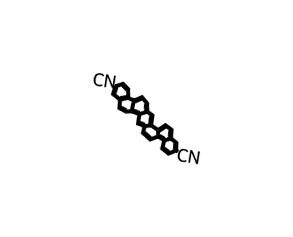 [C-]#[N+]c1ccc2c(ccc3c4cc5ccc6c7ccc(C#N)cc7ccc6c5cc4ccc23)c1